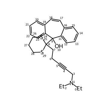 CCN(CC)CC#CCCC1(C2(O)c3ccccc3C=Cc3ccccc32)SCCCS1